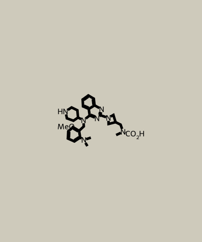 COc1cccc(N(C)C)c1CN(c1nc(N2CC(CN(C)C(=O)O)C2)nc2ccccc12)C1CCNCC1